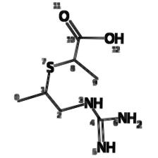 CC(CNC(=N)N)SC(C)C(=O)O